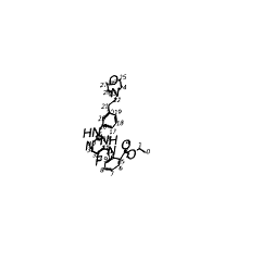 CCOC(=O)c1ccccc1Nc1nc(Nc2cccc(CCN3CCOCC3)c2)ncc1F